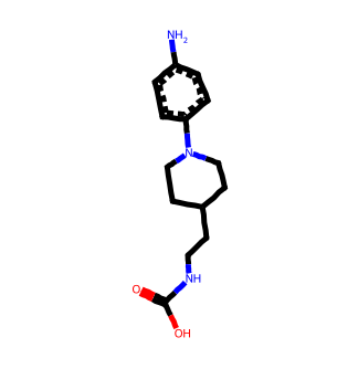 Nc1ccc(N2CCC(CCNC(=O)O)CC2)cc1